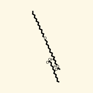 CC(=O)O.CCCCCCCCCCCC(=O)O.CCCCCCCCCCCCCCOCCCCCCCCCCCCCC